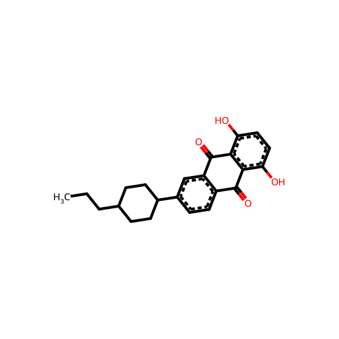 CCCC1CCC(c2ccc3c(c2)C(=O)c2c(O)ccc(O)c2C3=O)CC1